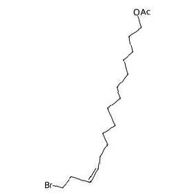 CC(=O)OCCCCCCCCCCCC/C=C\CCBr